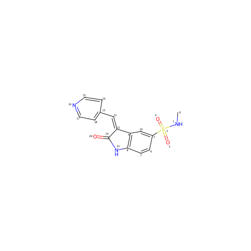 CNS(=O)(=O)c1ccc2c(c1)C(=Cc1ccncc1)C(=O)N2